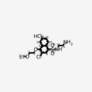 CCOCCOc1c(Cl)cc(S(=O)(=O)NCCN)c2ccccc12.Cl